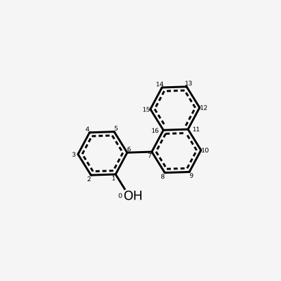 Oc1ccccc1-c1cccc2ccccc12